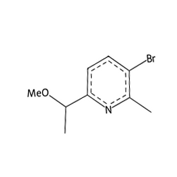 COC(C)c1ccc(Br)c(C)n1